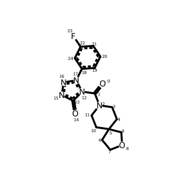 O=C(N1CCC2(CCOC2)CC1)n1c(=O)nnn1-c1cccc(F)c1